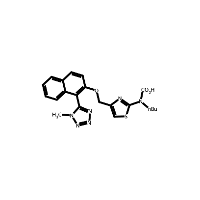 CCCCN(C(=O)O)c1nc(COc2ccc3ccccc3c2-c2nnnn2C)cs1